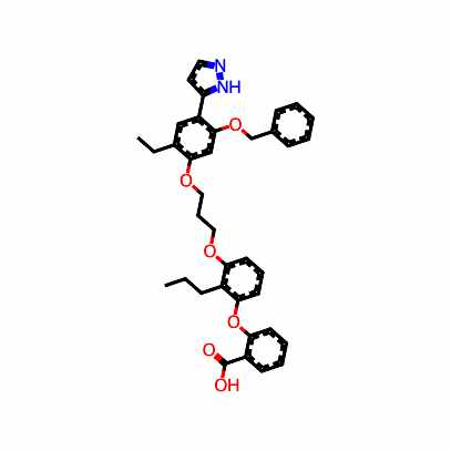 CCCc1c(OCCCOc2cc(OCc3ccccc3)c(-c3ccn[nH]3)cc2CC)cccc1Oc1ccccc1C(=O)O